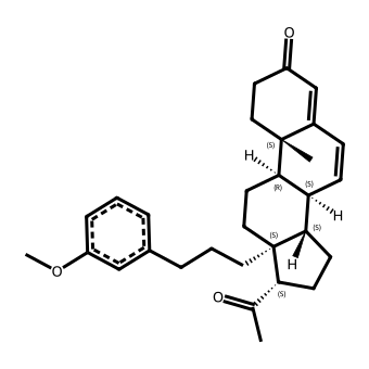 COc1cccc(CCC[C@]23CC[C@@H]4[C@@H](C=CC5=CC(=O)CC[C@]54C)[C@@H]2CC[C@@H]3C(C)=O)c1